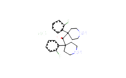 Cl.O=C(C1(c2ccccc2F)CCNCC1)C1(c2ccccc2F)CCNCC1